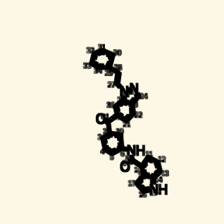 O=C(c1cccc(NC(=O)c2cccc3[nH]ccc23)c1)c1ccc2cnn(C=Cc3ccccc3)c2c1